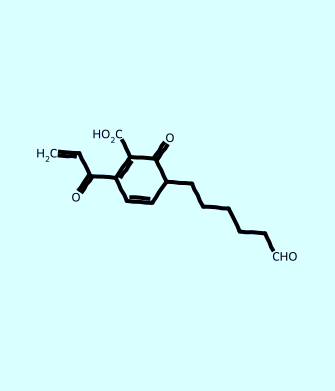 C=CC(=O)C1=C(C(=O)O)C(=O)C(CCCCCC=O)C=C1